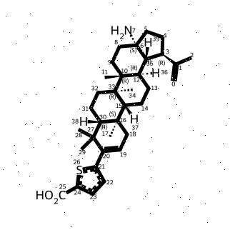 C=C(C)[C@@H]1CC[C@]2(N)CC[C@]3(C)[C@H](CC[C@@H]4[C@@]5(C)CC=C(c6ccc(C(=O)O)s6)C(C)(C)[C@@H]5CC[C@]43C)[C@@H]12